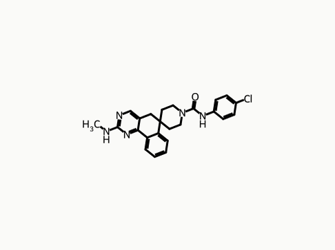 CNc1ncc2c(n1)-c1ccccc1C1(CCN(C(=O)Nc3ccc(Cl)cc3)CC1)C2